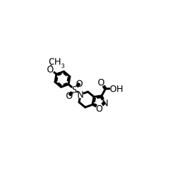 COc1ccc(S(=O)(=O)N2CCc3onc(C(=O)O)c3C2)cc1